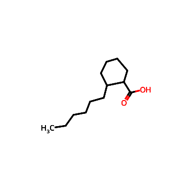 CCCCCCC1CCCCC1C(=O)O